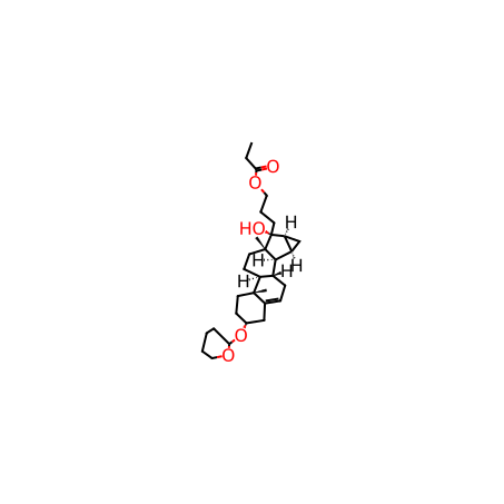 CCC(=O)OCCC[C@]1(O)[C@H]2C[C@H]2[C@H]2[C@@H]3CC=C4C[C@@H](OC5CCCCO5)CC[C@]4(C)[C@H]3CC[C@@]21C